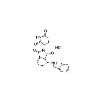 Cl.O=C1CCC(N2C(=O)c3cccc(NCc4ccccn4)c3C2=O)C(=O)N1